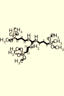 CO[Si](C)(CCCNC(NCCC[Si](C)(OC)OC)[SiH2]C=C[Si](OC)(OC)OC)OC